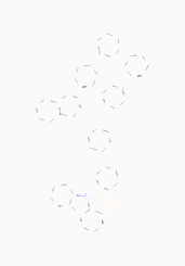 c1ccc2c(c1)-c1ccccc1C21c2ccccc2-c2ccc(N(c3ccc(-c4ccc5c(c4)-n4c6ccccc6c6cccc(c64)O5)cc3)c3ccc4ccccc4c3)cc21